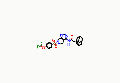 O=C(CC12CC3CC(CC(C3)C1)C2)Nc1ncnc2c1CCN(S(=O)(=O)c1ccc(OC(F)F)cc1)C2